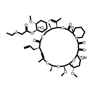 C=CC[C@@H]1/C=C(\C)C[C@H](C)C[C@H](OC)[C@H]2O[C@@](O)(C(=O)C(=O)N3CCCC[C@H]3C(=O)O[C@H](/C(C)=C\[C@@H]3CC[C@@H](OC(=O)CSCC)[C@H](OC)C3)[C@H](C)[C@@H](O)CC1=O)[C@H](C)C[C@@H]2OC